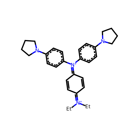 CC[N+](CC)=C1C=CC(=[N+](c2ccc(N3CCCC3)cc2)c2ccc(N3CCCC3)cc2)C=C1